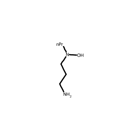 CCCN(O)CCCN